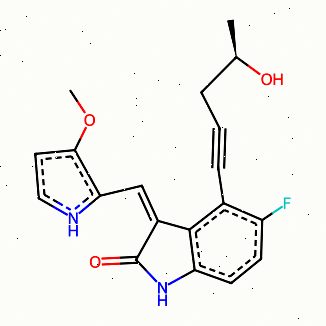 COc1cc[nH]c1/C=C1\C(=O)Nc2ccc(F)c(C#CC[C@@H](C)O)c21